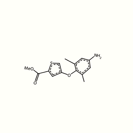 COC(=O)c1cc(Oc2c(C)cc(N)cc2C)cs1